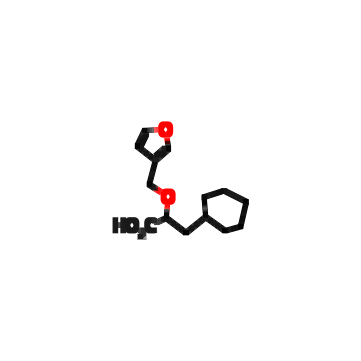 O=C(O)C(CC1CCCCC1)OCc1ccoc1